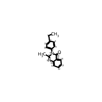 CCc1ccc(-n2c(C)nc3ccccc3c2=O)cc1